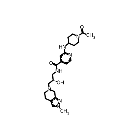 CC(=O)N1CCC(Nc2cc(C(=O)NC[C@H](O)CN3CCc4cn(C)nc4C3)ccn2)CC1